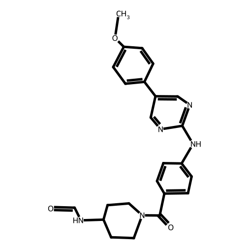 COc1ccc(-c2cnc(Nc3ccc(C(=O)N4CCC(NC=O)CC4)cc3)nc2)cc1